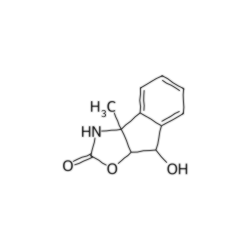 CC12NC(=O)OC1C(O)c1ccccc12